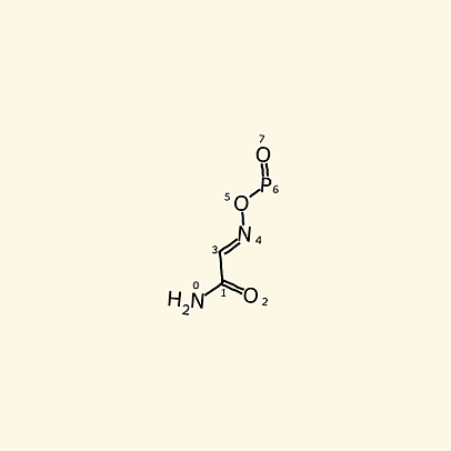 NC(=O)C=NOP=O